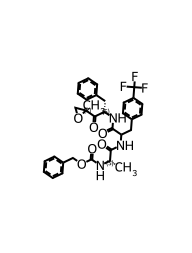 C[C@H](NC(=O)OCc1ccccc1)C(=O)NC(Cc1ccc(C(F)(F)F)cc1)C(=O)N[C@@H](Cc1ccccc1)C(=O)[C@@]1(C)CO1